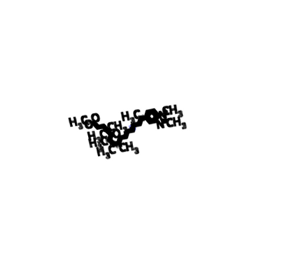 COC(=O)CCC(C)(C)C(=O)[C@H](C)[C@@H](C)[C@@H](C)CCC/C=C/C[C@H](C)c1ccc2c(c1)nc(C)n2C